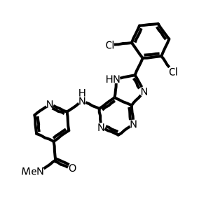 CNC(=O)c1ccnc(Nc2ncnc3nc(-c4c(Cl)cccc4Cl)[nH]c23)c1